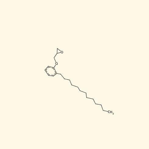 CCCCCCCCCCCCCc1ccccc1OCC1CO1